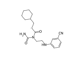 N#Cc1cccc(NCCN(C(N)=O)C(=O)[CH]CC2CCCCC2)c1